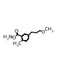 COCCCc1ccc(C)c(C(=O)ON)c1